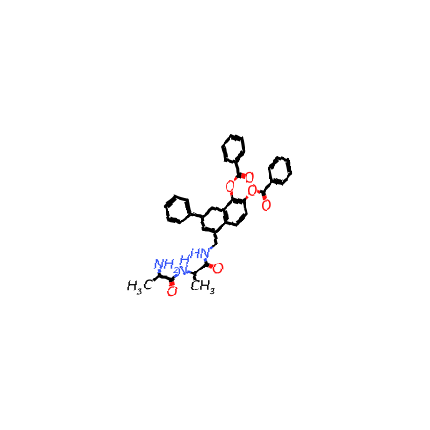 CC(N)C(=O)NC(C)C(=O)NCC1=CC(c2ccccc2)Cc2c1ccc(OC(=O)c1ccccc1)c2OC(=O)c1ccccc1